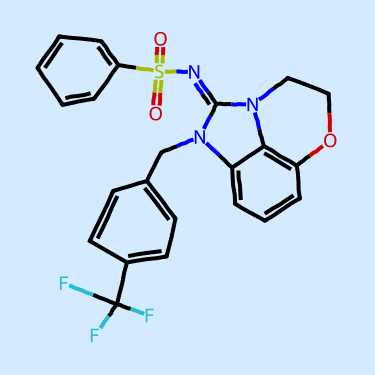 O=S(=O)(/N=c1\n(Cc2ccc(C(F)(F)F)cc2)c2cccc3c2n1CCO3)c1ccccc1